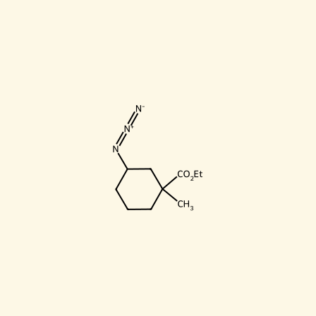 CCOC(=O)C1(C)CCCC(N=[N+]=[N-])C1